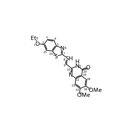 CCOc1ccc2nc([SH]=Cc3nc4cc(OC)c(OC)cc4c(=O)[nH]3)sc2c1